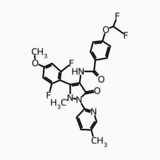 COc1cc(F)c(-c2c(NC(=O)c3ccc(OC(F)F)cc3)c(=O)n(-c3ccc(C)cn3)n2C)c(F)c1